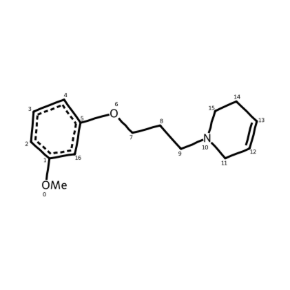 COc1cccc(OCCCN2CC=CCC2)c1